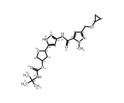 Cn1nc(COC2CC2)cc1C(=O)Nc1cc(C2CC(OC(=O)NC(C)(C)C)CO2)[nH]n1